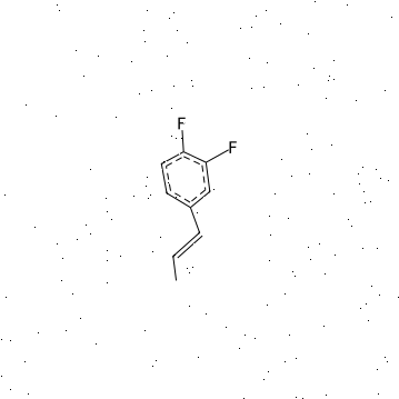 CC=Cc1ccc(F)c(F)c1